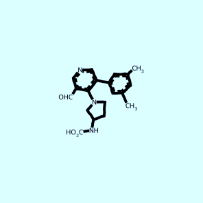 Cc1cc(C)cc(-c2cncc(C=O)c2N2CCC(NC(=O)O)C2)c1